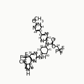 COc1ncc(-c2cnc(N(C(=O)OCC(F)(F)F)[C@H]3CC[C@H](Nc4ncc(C(F)(F)F)c(-c5n[nH]cc5Cl)n4)CC3)cn2)cn1